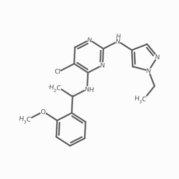 [CH2][C](Nc1nc(Nc2cnn(CC)c2)ncc1Cl)c1ccccc1OC